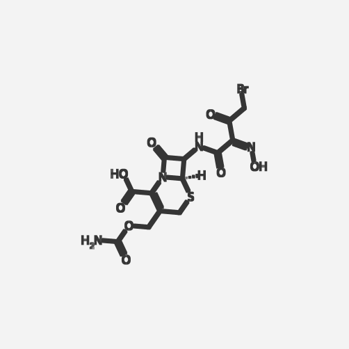 NC(=O)OCC1=C(C(=O)O)N2C(=O)C(NC(=O)/C(=N\O)C(=O)CBr)[C@H]2SC1